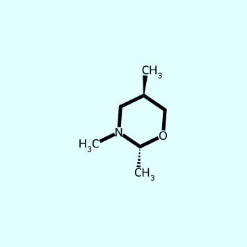 C[C@H]1CO[C@H](C)N(C)C1